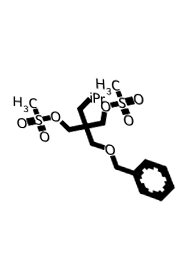 CC(C)CC(COCc1ccccc1)(COS(C)(=O)=O)COS(C)(=O)=O